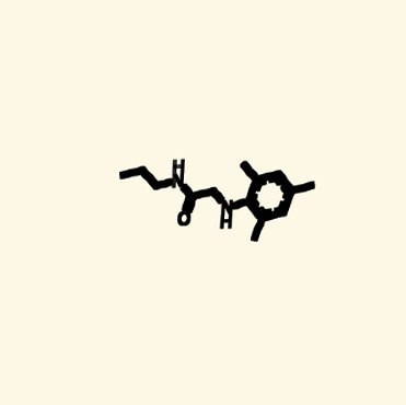 CCCNC(=O)CNc1c(C)cc(C)cc1C